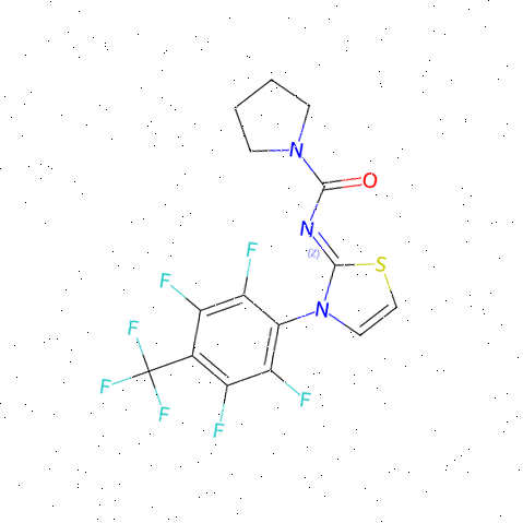 O=C(/N=c1\sccn1-c1c(F)c(F)c(C(F)(F)F)c(F)c1F)N1CCCC1